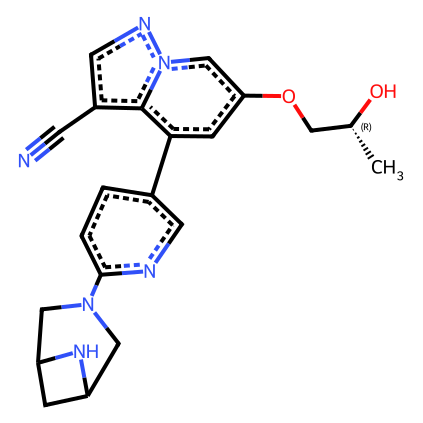 C[C@@H](O)COc1cc(-c2ccc(N3CC4CC(C3)N4)nc2)c2c(C#N)cnn2c1